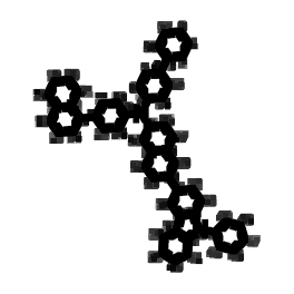 c1ccc(-c2ccc(N(c3ccc(-c4cccc5ccccc45)cc3)c3ccc4cc(-c5ccc6c(c5)c5ccccc5n6-c5ccccc5)ccc4c3)cc2)cc1